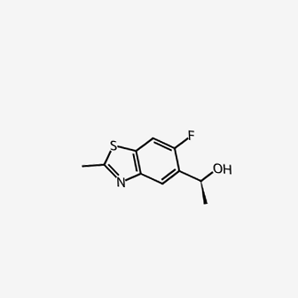 Cc1nc2cc([C@H](C)O)c(F)cc2s1